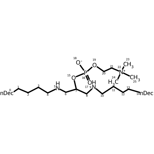 CCCCCCCCCCCCCCNCC(CNCCCCCCCCCCCCCC)OP(=O)([O-])OCC[N+](C)(C)C